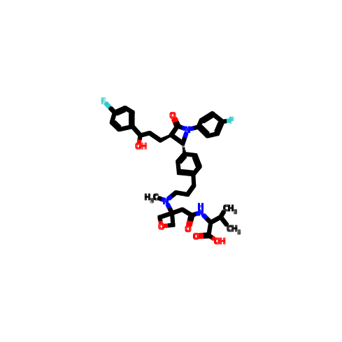 CC(C)C(NC(=O)CC1(N(C)CCCc2ccc([C@@H]3[C@@H](CCC(O)c4ccc(F)cc4)C(=O)N3c3ccc(F)cc3)cc2)COC1)C(=O)O